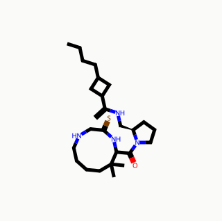 C=C(NC[C@H]1CCCN1C(=O)C1NC(=S)CNCCCCC1(C)C)C1CC(CCCC)C1